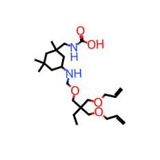 C=CCOCC(CC)(COCC=C)COCNC1CC(C)(C)CC(C)(CNC(=O)O)C1